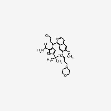 COc1cc2ncnc(N(CCCl)c3cc(C(C)(C)C)[se]c3C(N)=O)c2cc1OCCCN1CCOCC1